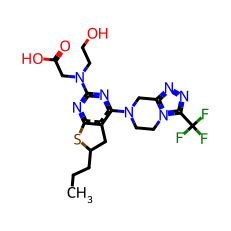 CCCC1Cc2c(nc(N(CCO)CC(=O)O)nc2N2CCn3c(nnc3C(F)(F)F)C2)S1